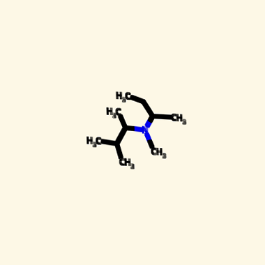 CCC(C)N(C)C(C)C(C)C